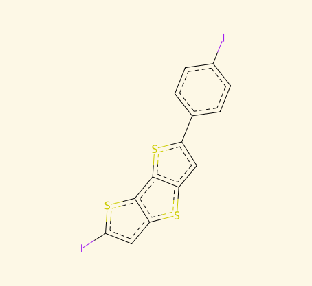 Ic1ccc(-c2cc3sc4cc(I)sc4c3s2)cc1